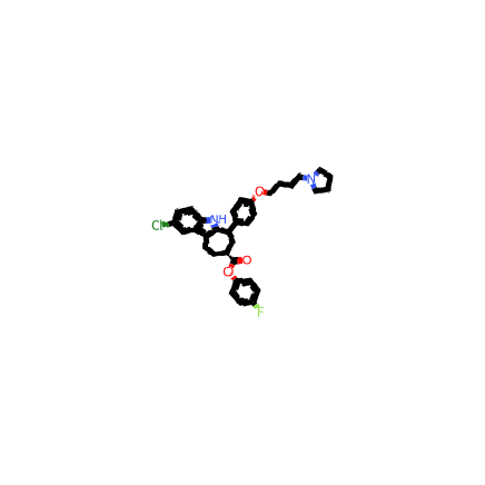 O=C(Oc1ccc(F)cc1)[C@H]1CCc2c([nH]c3ccc(Cl)cc23)C(c2ccc(OCCCCN3CCCC3)cc2)C1